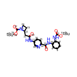 CC(C)(C)OC(=O)Nc1ccccc1NC(=O)c1ccc(NC(=O)CC2CCN2C(=O)OC(C)(C)C)cn1